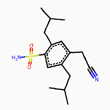 CC(C)Cc1cc(S(N)(=O)=O)c(CC(C)C)cc1CC#N